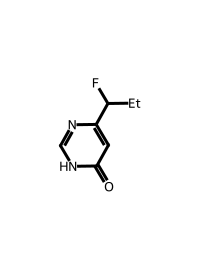 CCC(F)c1cc(=O)[nH]cn1